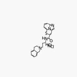 Cl.Cl.O=C(NCCCN1CCc2ccccc2C1)C1=Cc2cnc3cccc(n23)S1